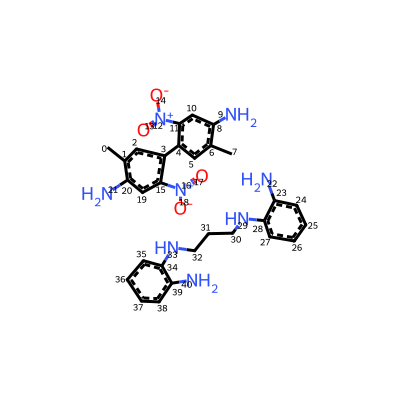 Cc1cc(-c2cc(C)c(N)cc2[N+](=O)[O-])c([N+](=O)[O-])cc1N.Nc1ccccc1NCCCNc1ccccc1N